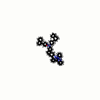 c1ccc2c(-c3ccc(N(c4ccc(-c5cccc6ccccc56)cc4)c4ccc5c(ccc6cc(-c7cccc8c9c%10ccccc%10n%10c%11ccccc%11n(c78)c9%10)ccc65)c4)cc3)cccc2c1